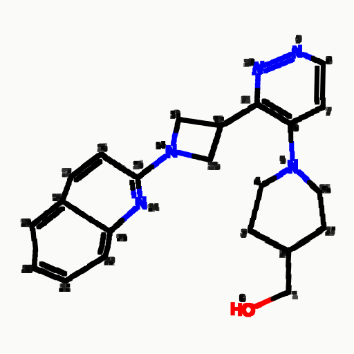 OCC1CCN(c2ccnnc2C2CN(c3ccc4ccccc4n3)C2)CC1